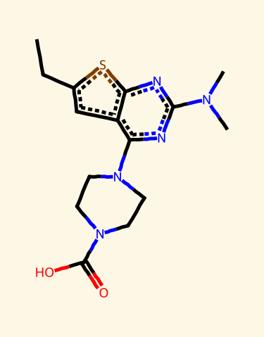 CCc1cc2c(N3CCN(C(=O)O)CC3)nc(N(C)C)nc2s1